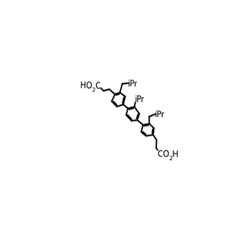 CC(C)Cc1cc(-c2ccc(-c3ccc(CCC(=O)O)cc3CC(C)C)cc2C(C)C)ccc1CCC(=O)O